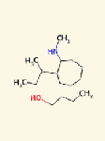 CCC(C)C1CCCCCC1NC.CCCCO